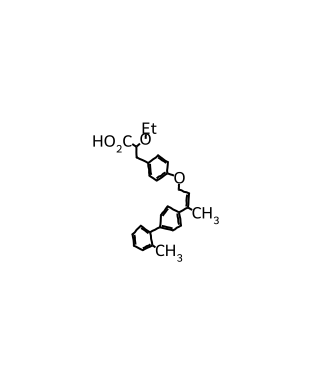 CCOC(Cc1ccc(OCC=C(C)c2ccc(-c3ccccc3C)cc2)cc1)C(=O)O